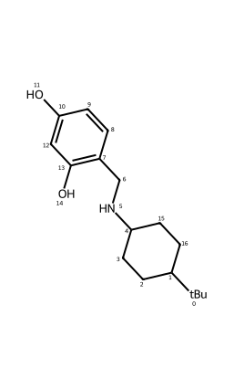 CC(C)(C)C1CCC(NCc2ccc(O)cc2O)CC1